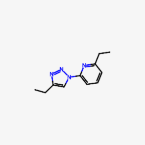 CCc1cn(-c2cccc(CC)n2)nn1